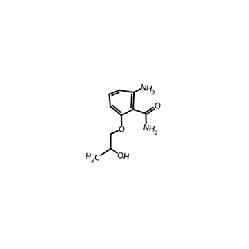 CC(O)COc1cccc(N)c1C(N)=O